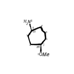 CO[C@@H]1CCC[C@H](N)CC1